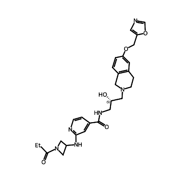 CCC(=O)N1CC(Nc2cc(C(=O)NC[C@H](O)CN3CCc4cc(OCc5cnco5)ccc4C3)ccn2)C1